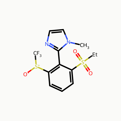 CCS(=O)(=O)c1cccc([S+]([O-])C(F)(F)F)c1-c1nccn1C